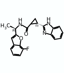 C[C@@H](NC(=O)C1C[C@@H]1c1nc2ccccc2[nH]1)c1cc2cccc(F)c2o1